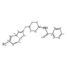 O=C(NN1CCN(Cc2cn3cc(Br)ccc3n2)CC1)c1ccccc1